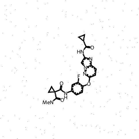 CNC(=O)C1(C(=O)Nc2ccc(Oc3ccc4nc(NC(=O)C5CC5)cn4n3)c(F)c2)CC1